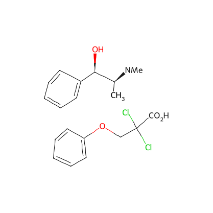 CN[C@@H](C)[C@H](O)c1ccccc1.O=C(O)C(Cl)(Cl)COc1ccccc1